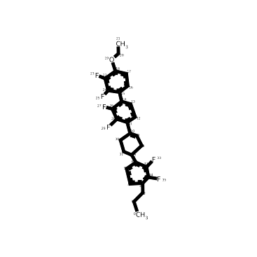 CCCc1ccc(C2CC=C(c3ccc(-c4ccc(OCC)c(F)c4F)c(F)c3F)CC2)c(F)c1F